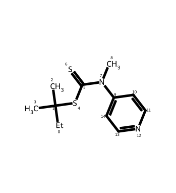 CCC(C)(C)SC(=S)N(C)c1ccncc1